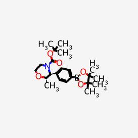 C[C@@H]1OCCN(C(=O)OC(C)(C)C)[C@H]1c1ccc(B2OC(C)(C)C(C)(C)O2)cc1